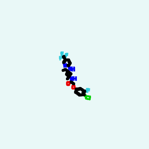 CCC1(Nc2ccc(C(F)(F)F)cn2)CC(C)(NC(=O)COc2ccc(Cl)c(F)c2)C1